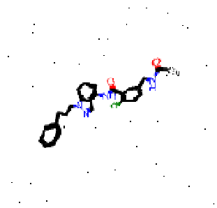 CC(C)(C)C(=O)NCc1ccc(Cl)c(C(=O)Nc2cccc3c2cnn3CCCc2ccccc2)c1